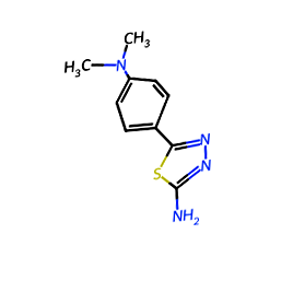 CN(C)c1ccc(-c2nnc(N)s2)cc1